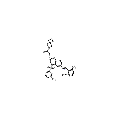 O=C(CC[C@H]1CN(S(=O)(=O)c2cccc(C(F)(F)F)c2)c2cc(/C=C/c3c(Cl)cccc3C(F)(F)F)ccc2O1)N1CC2(COC2)C1